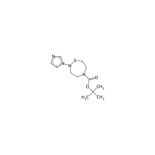 CC(C)(C)OC(=O)N1CCSN(n2ccnc2)CC1